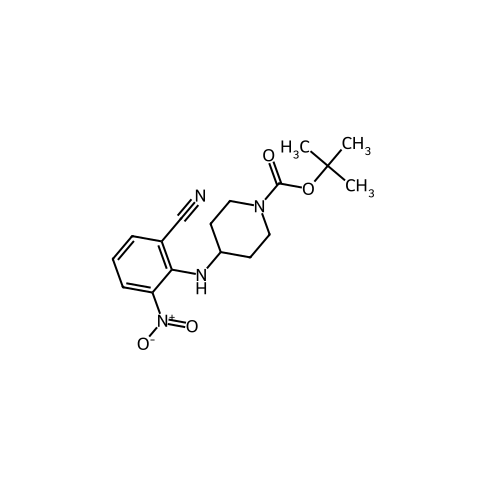 CC(C)(C)OC(=O)N1CCC(Nc2c(C#N)cccc2[N+](=O)[O-])CC1